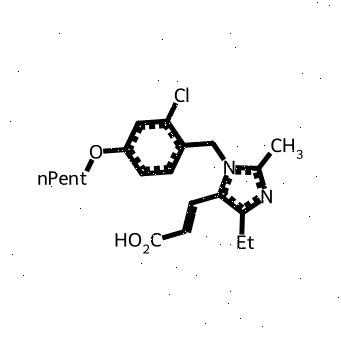 CCCCCOc1ccc(Cn2c(C)nc(CC)c2C=CC(=O)O)c(Cl)c1